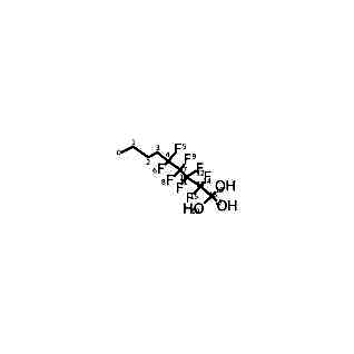 CCCCC(F)(F)C(F)(F)C(F)(F)C(F)(F)C(O)(O)O